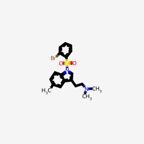 Cc1ccc2c(c1)c(CCN(C)C)cn2S(=O)(=O)c1ccccc1Br